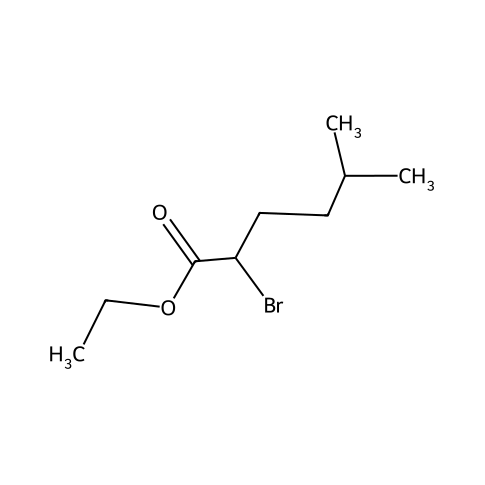 CCOC(=O)C(Br)CCC(C)C